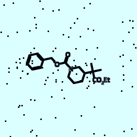 CCOC(=O)C(C)(C)C1CCCN(C(=O)OCc2ccccc2)C1